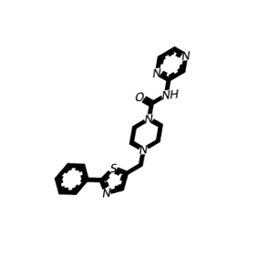 O=C(Nc1cnccn1)N1CCN(Cc2cnc(-c3ccccc3)s2)CC1